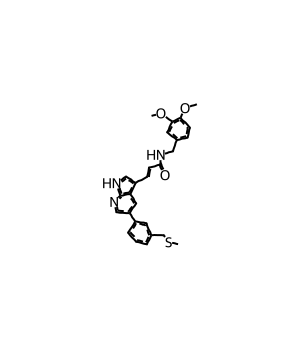 COc1ccc(CNC(=O)/C=C/c2c[nH]c3ncc(-c4cccc(CSC)c4)cc23)cc1OC